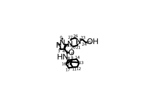 Cn1ncc(C(=O)NC2C3CC4CC(C3)CC2C4)c1N1CCN(CCO)CC1